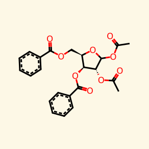 CC(=O)OC1O[C@H](COC(=O)c2ccccc2)[C@H](OC(=O)c2ccccc2)[C@H]1OC(C)=O